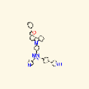 C1=CC(c2ccc(C3N4C(c5ccc(-n6c7ccccc7c7c8oc(-c9ccccc9)cc8ccc76)cc5)=NC(c5ccncc5)N34)cc2)=CCN1